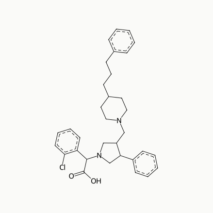 O=C(O)C(c1ccccc1Cl)N1CC(CN2CCC(CCCc3ccccc3)CC2)C(c2ccccc2)C1